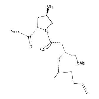 C=CCCC(C)C[C@@H](COC)CC(=O)N1C[C@H](O)C[C@H]1C(=O)OC